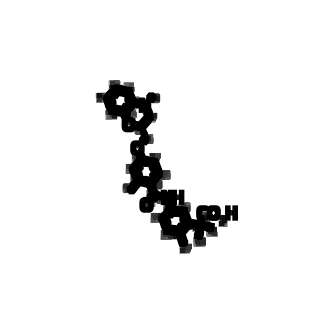 Cc1cc(OC[C@@H]2CN(C)c3ccccc3O2)ccc1C(=O)Nc1ccc(C)c(C(C)(C)C(=O)O)c1